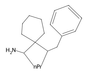 CCCC(Cc1ccccc1)C1(C(C)N)CCCCC1